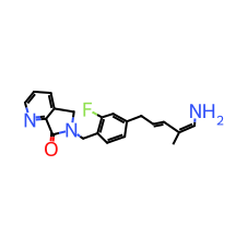 CC(=C/N)/C=C/Cc1ccc(CN2Cc3cccnc3C2=O)c(F)c1